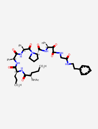 CCC[C@H](NC(=O)[C@@H]1CCCN1C(=O)[C@@H](NC(=O)[C@@H](NC(=O)[C@H](CCC(=O)O)NC(=O)[C@H](CCC(=O)O)NC(C)=O)C(C)C)C(C)C)C(=O)C(=O)NCC(=O)NCCc1ccccc1